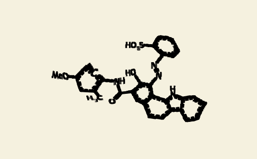 COc1ccc(NC(=O)c2cc3ccc4c5ccccc5[nH]c4c3c(N=Nc3ccccc3S(=O)(=O)O)c2O)c(C)c1